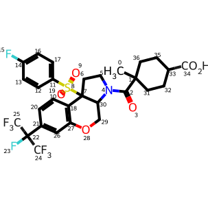 CC1(C(=O)N2CCC3(S(=O)(=O)c4ccc(F)cc4)c4ccc(C(F)(C(F)(F)F)C(F)(F)F)cc4OCC23)CCC(C(=O)O)CC1